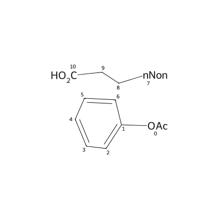 CC(=O)Oc1ccccc1.CCCCCCCCCCCC(=O)O